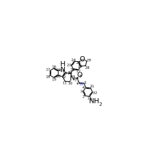 Nc1ccc(/C=C/C(=O)N2CCc3c([nH]c4ccccc34)[C@H]2c2ccc3c(c2)CCO3)cc1